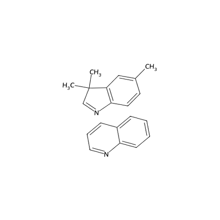 Cc1ccc2c(c1)C(C)(C)C=N2.c1ccc2ncccc2c1